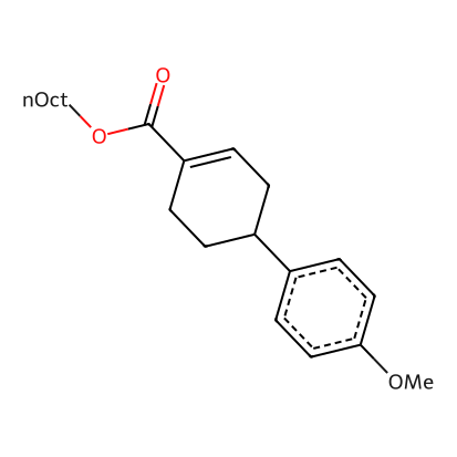 CCCCCCCCOC(=O)C1=CCC(c2ccc(OC)cc2)CC1